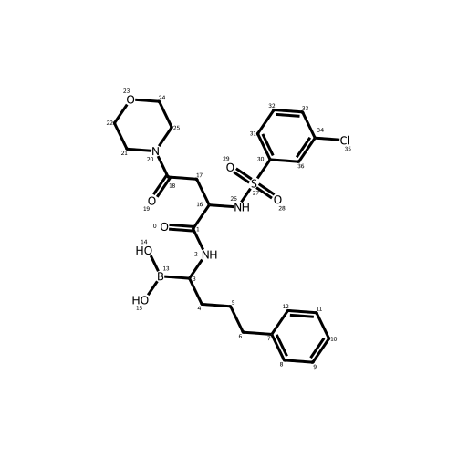 O=C(NC(CCCc1ccccc1)B(O)O)C(CC(=O)N1CCOCC1)NS(=O)(=O)c1cccc(Cl)c1